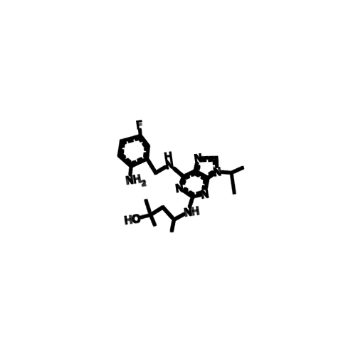 CC(CC(C)(C)O)Nc1nc(NCc2cc(F)ccc2N)c2ncn(C(C)C)c2n1